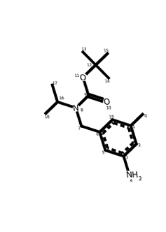 Cc1cc(N)cc(CN(C(=O)OC(C)(C)C)C(C)C)c1